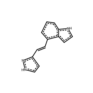 C(=C\c1cccc2[nH]ccc12)/c1cc[nH]n1